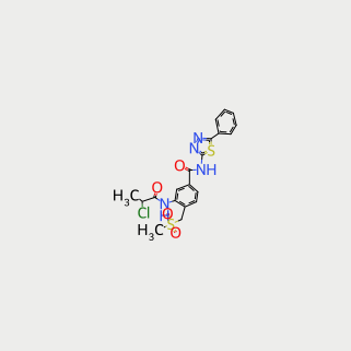 CC(Cl)C(=O)Nc1cc(C(=O)Nc2nnc(-c3ccccc3)s2)ccc1CS(C)(=O)=O